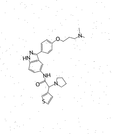 CN(C)CCCOc1ccc(-c2n[nH]c3ccc(NC(=O)C(c4ccsc4)N4CCCC4)cc23)cc1